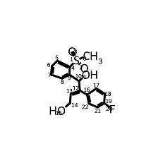 CS(=O)(=O)c1ccccc1C(O)C(=CCO)c1ccc(F)cc1